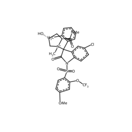 CNC(=O)[C@@H]1C[C@@H](O)C[N+]1(C)C1(c2ccccc2C)C(=O)N(S(=O)(=O)c2ccc(OC)cc2OC(F)(F)F)c2ccc(Cl)cc21